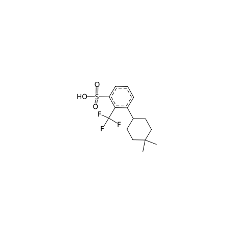 CC1(C)CCC(c2cccc(S(=O)(=O)O)c2C(F)(F)F)CC1